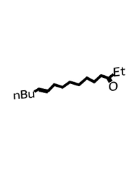 CCCCC=CCCCCCCCC(=O)CC